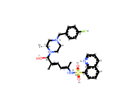 C/C(=C\C=C(/C)[C@@H](O)N1CCN(Cc2ccc(F)cc2)C[C@H]1C)NS(=O)(=O)c1cccc2cccnc12